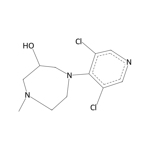 CN1CCN(c2c(Cl)cncc2Cl)CC(O)C1